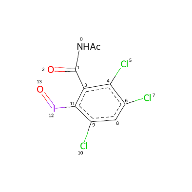 CC(=O)NC(=O)c1c(Cl)c(Cl)cc(Cl)c1I=O